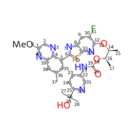 COc1cnc2c(-c3nc4cc(F)c(O[C@@H](C)[C@@H](C)OC(=O)Nc5ccc(C(C)(C)O)nc5)nc4s3)cc(C)cc2n1